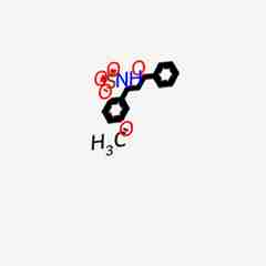 COc1ccc2c(c1)C(CC(=O)c1ccccc1)NS(=O)(=O)O2